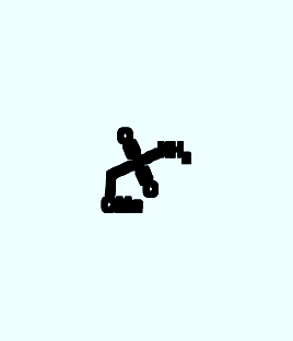 COCS(N)(=O)=O